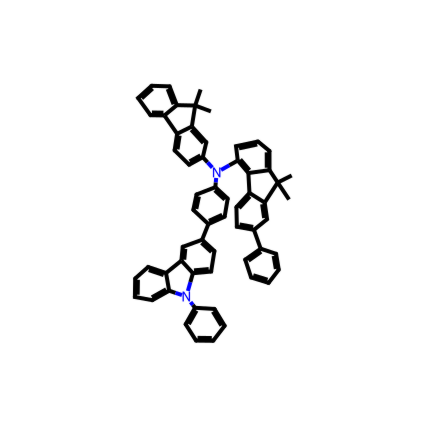 CC1(C)c2ccccc2-c2ccc(N(c3ccc(-c4ccc5c(c4)c4ccccc4n5-c4ccccc4)cc3)c3cccc4c3-c3ccc(-c5ccccc5)cc3C4(C)C)cc21